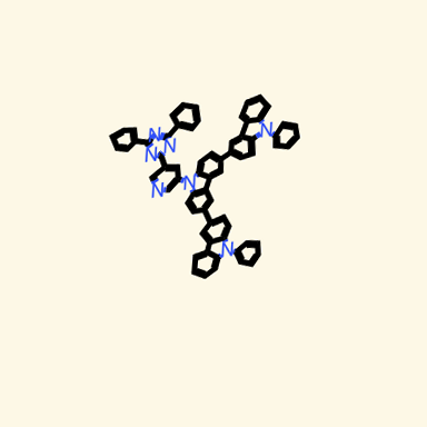 c1ccc(-c2nc(-c3ccccc3)nc(-c3cncc(-n4c5ccc(-c6ccc7c(c6)c6ccccc6n7-c6ccccc6)cc5c5cc(-c6ccc7c(c6)c6ccccc6n7-c6ccccc6)ccc54)c3)n2)cc1